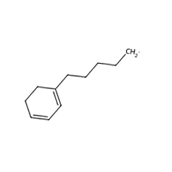 [CH2]CCCCC1=CC=CCC1